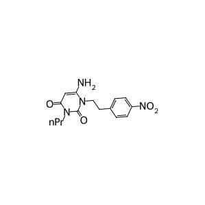 CCCn1c(=O)cc(N)n(CCc2ccc([N+](=O)[O-])cc2)c1=O